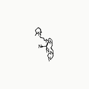 CC1CCCCN1CCCN1CCN(CCCN2CCN(C)CC2)C1=C(C#N)C#N